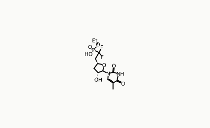 CCOP(=O)(O)C(F)(F)C[C@@H]1C[C@@H](O)C(n2cc(C)c(=O)[nH]c2=O)O1